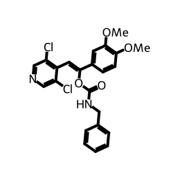 COc1ccc(C(=Cc2c(Cl)cncc2Cl)OC(=O)NCc2ccccc2)cc1OC